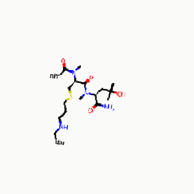 CCCC(=O)N(C)[C@H](CSCCCNCC(C)(C)C)C(=O)N(C)[C@@H](CC(C)(C)O)C(N)=O